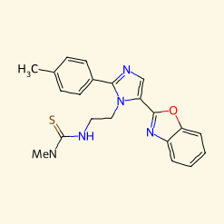 CNC(=S)NCCn1c(-c2nc3ccccc3o2)cnc1-c1ccc(C)cc1